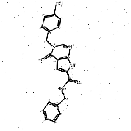 O=C(O)c1ccc(Cn2cnc3[nH]c(C(=O)NCc4ccccc4)cc3c2=O)cc1